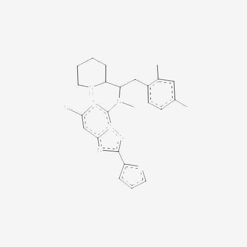 CN(c1nc(N)cc2nc(-c3ccco3)nn12)C(Cc1ccc(F)cc1F)C1CCCCN1